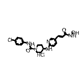 Cl.O=C(C=Cc1ccc(NC2CCN(C(=O)Nc3ccc(Cl)cc3)CC2)nc1)NO